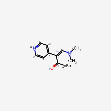 CCCCC(=O)/C(=C\N(C)C)c1ccncc1